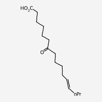 CCCC=CCCCCC(=O)CCCCCC(=O)O